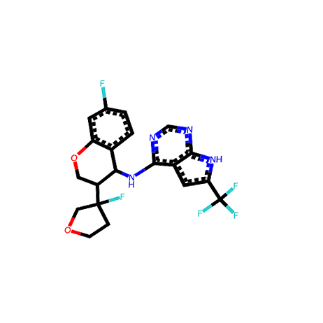 Fc1ccc2c(c1)OCC(C1(F)CCOC1)C2Nc1ncnc2[nH]c(C(F)(F)F)cc12